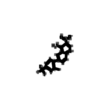 Cc1nc(C(F)(F)F)ccc1-c1ccc2ncc([N+](=O)[O-])c(N)c2c1